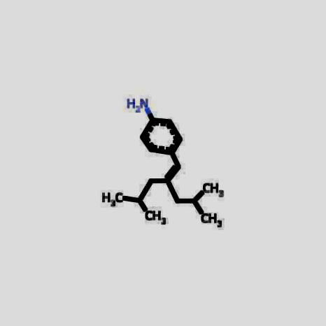 CC(C)CC(=Cc1ccc(N)cc1)CC(C)C